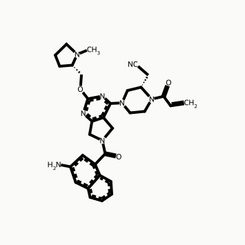 C=CC(=O)N1CCN(c2nc(OC[C@@H]3CCCN3C)nc3c2CN(C(=O)c2cc(N)cc4ccccc24)C3)C[C@@H]1CC#N